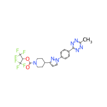 Cc1nnc(-c2ccc(-n3ccc(C4CCN(C(=O)OC(C(F)(F)F)C(F)(F)F)CC4)n3)cc2)nn1